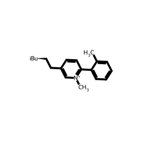 CC[C@H](C)CCc1ccc(-c2ccccc2C)[n+](C)c1